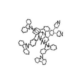 c1ccc2c(c1)c1ccccc1n2-c1ccc2c(c1)c1ccccc1n2-c1cc(-c2ccc(-c3ccncc3)c(-c3ccncc3)c2)c(-n2c3ccccc3c3cc(-n4c5ccccc5c5ccccc54)ccc32)c(-n2c3ccccc3c3cc(-n4c5ccccc5c5ccccc54)ccc32)n1